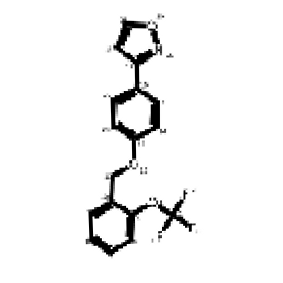 FC(F)(F)Oc1ccccc1COc1ccc(-c2ccon2)cc1